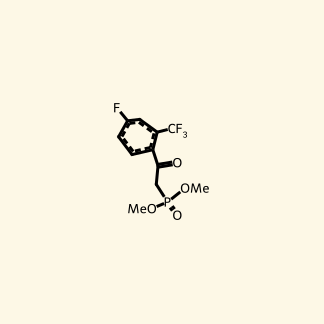 COP(=O)(CC(=O)c1ccc(F)cc1C(F)(F)F)OC